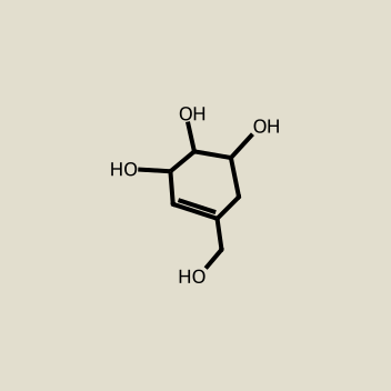 OCC1=CC(O)C(O)C(O)C1